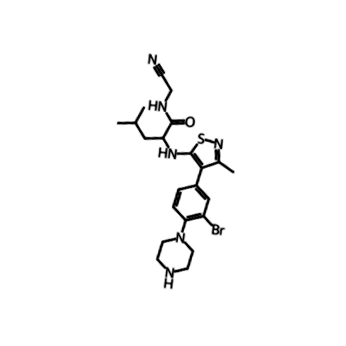 Cc1nsc(NC(CC(C)C)C(=O)NCC#N)c1-c1ccc(N2CCNCC2)c(Br)c1